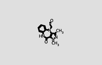 Cc1nn(C)c2c1N(CI=O)c1ccccc1NC2=O